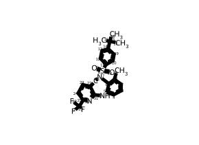 Cc1cccc2c1N(S(=O)(=O)c1ccc(C(C)(C)C)cc1)Cc1ccc(C(F)(F)F)nc1N2